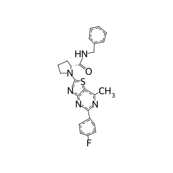 Cc1nc(-c2ccc(F)cc2)nc2nc(N3CCC[C@@H]3C(=O)NCc3ccccc3)sc12